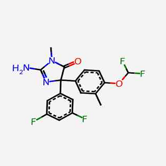 Cc1cc(C2(c3cc(F)cc(F)c3)N=C(N)N(C)C2=O)ccc1OC(F)F